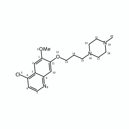 COc1cc2c(Cl)ccnc2cc1OCCCN1CCN(C)CC1